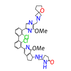 COc1nc(-c2cccc(-c3cccc(-c4cc5c(c(OC)n4)C(NCC4CCC(=O)N4)CC5)c3Cl)c2Cl)cnc1CN1CC2(CCCO2)C1